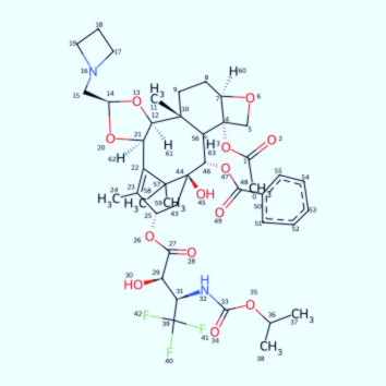 CC(=O)O[C@@]12CO[C@@H]1CC[C@@]1(C)[C@@H]3O[C@H](CN4CCC4)O[C@@H]3C3=C(C)[C@@H](OC(=O)[C@H](O)[C@@H](NC(=O)OC(C)C)C(F)(F)F)C[C@@](O)([C@@H](OC(=O)c4ccccc4)[C@@H]12)C3(C)C